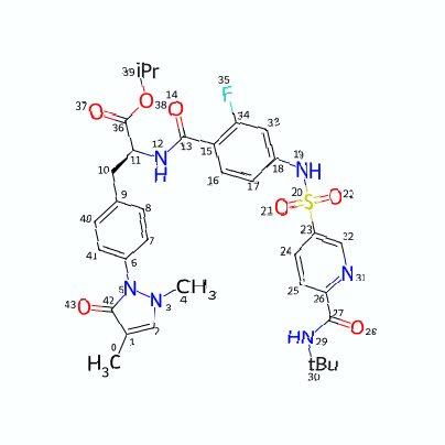 Cc1cn(C)n(-c2ccc(C[C@H](NC(=O)c3ccc(NS(=O)(=O)c4ccc(C(=O)NC(C)(C)C)nc4)cc3F)C(=O)OC(C)C)cc2)c1=O